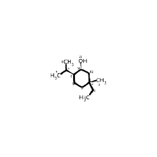 [CH2]C[C@]1(C)CC[C@@H](C(C)C)[C@H](O)C1